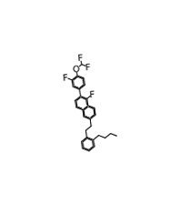 CCCCc1ccccc1CCc1ccc2c(F)c(-c3ccc(OC(F)F)c(F)c3)ccc2c1